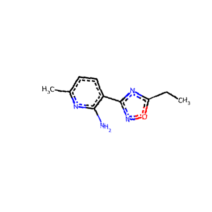 CCc1nc(-c2ccc(C)nc2N)no1